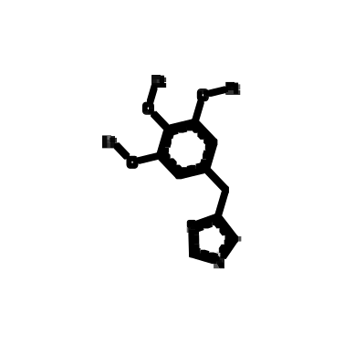 CCOc1cc(Cc2[c]ncs2)cc(OCC)c1OCC